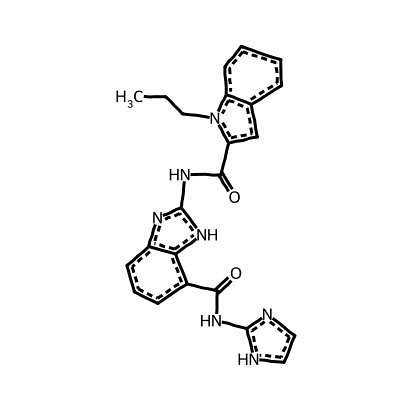 CCCn1c(C(=O)Nc2nc3cccc(C(=O)Nc4ncc[nH]4)c3[nH]2)cc2ccccc21